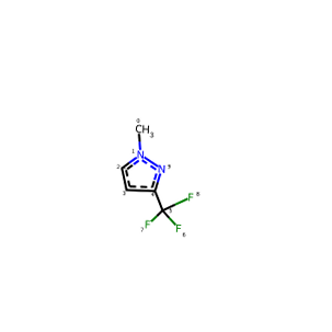 Cn1[c]cc(C(F)(F)F)n1